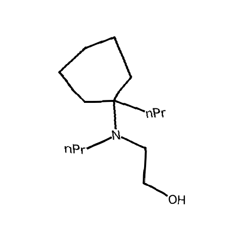 CCCN(CCO)C1(CCC)CCCCC1